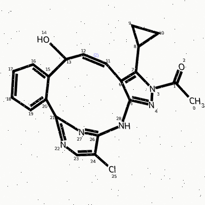 CC(=O)n1nc2c(c1C1CC1)/C=C\C(O)c1ccccc1-c1ncc(Cl)c(n1)N2